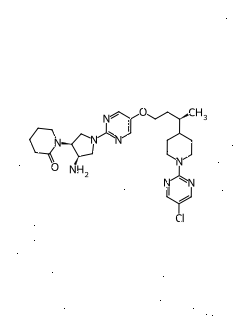 C[C@H](CCOc1cnc(N2C[C@@H](N)[C@@H](N3CCCCC3=O)C2)nc1)C1CCN(c2ncc(Cl)cn2)CC1